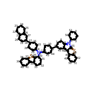 c1ccc(-n2c3ccc(-c4ccc(N(c5ccc(-c6ccc7ccccc7c6)cc5)c5cccc6c5sc5ccccc56)cc4)cc3c3c4ccccc4sc32)cc1